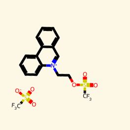 O=S(=O)(OCC[n+]1cc2ccccc2c2ccccc21)C(F)(F)F.O=S(=O)([O-])C(F)(F)F